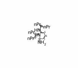 CCCP(CCC)NC1=CC=CC(N)N1P(CCC)CCC